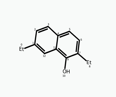 CCc1ccc2ccc(CC)c(O)c2c1